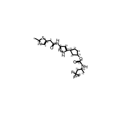 Cc1ncc(CC(=O)Nc2cc([C@H]3CCC(OC(=O)NC(C)CC(F)(F)F)C3)[nH]n2)s1